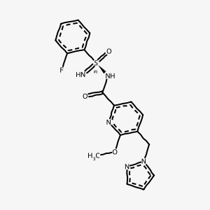 COc1nc(C(=O)N[S@](=N)(=O)c2ccccc2F)ccc1Cn1cccn1